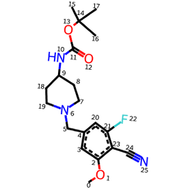 COc1cc(CN2CCC(NC(=O)OC(C)(C)C)CC2)cc(F)c1C#N